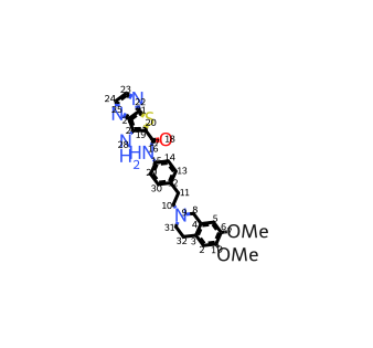 COc1cc2c(cc1OC)CN(CCc1ccc(NC(=O)c3sc4nccnc4c3N)cc1)CC2